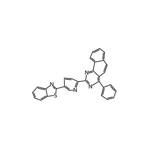 c1ccc(-c2nc(-c3ccc(-c4nc5ccccc5s4)cn3)nc3c2ccc2ccccc23)cc1